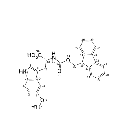 CCCCOc1ccc2[nH]cc(CC(NC(=O)OCC3c4ccccc4-c4ccccc43)C(=O)O)c2c1